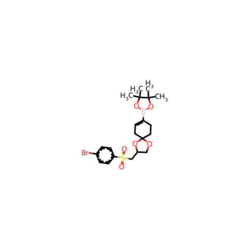 CC1(C)OB(C2=CCC3(CC2)OCC(CS(=O)(=O)c2ccc(Br)cc2)O3)OC1(C)C